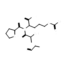 CC(N)C(=O)N(C(=O)C1CCCN1)C(CCCNC(=N)N)C(=O)O.O=CCCl